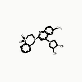 Cc1ccc2nc(N3CCS(=O)(=O)c4ccccc4C3)cc(N3C[C@H](O)[C@@H](O)C3)c2c1